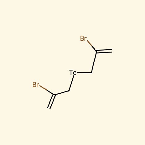 C=C(Br)C[Te]CC(=C)Br